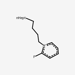 CCCCCCCCCCC[n+]1ccccc1F